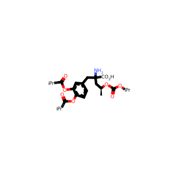 CC(C)OC(=O)O[C@@H](C)CC(N)(Cc1ccc(OC(=O)C(C)C)c(OC(=O)C(C)C)c1)C(=O)O